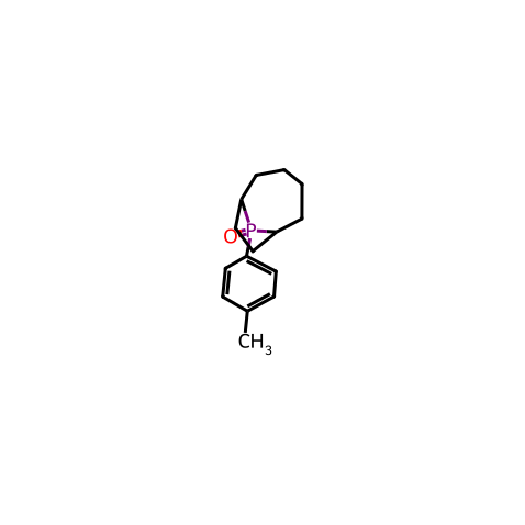 Cc1ccc(P2(=O)C3CCCCC2CC3)cc1